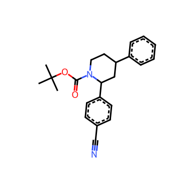 CC(C)(C)OC(=O)N1CCC(c2ccccc2)CC1c1ccc(C#N)cc1